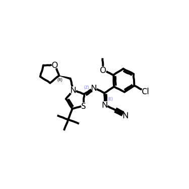 COc1ccc(Cl)cc1C(/N=c1\sc(C(C)(C)C)cn1C[C@H]1CCCO1)=N\C#N